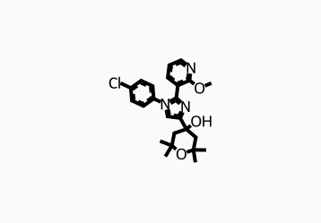 COc1ncccc1-c1nc(C2(O)CC(C)(C)OC(C)(C)C2)cn1-c1ccc(Cl)cc1